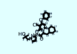 CC(C)(O)Cn1ccc(NC(=O)C(CC2CCCCC2)n2ncc(Oc3ccccc3)c(Cl)c2=O)n1